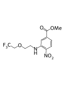 COC(=O)c1ccc([N+](=O)[O-])c(NCCOCC(F)(F)F)c1